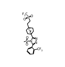 CS(=O)(=O)n1c(-c2ccccc2C(F)(F)F)nnc1C12CCC(CCS(=O)(=O)C(F)(F)F)(CC1)CC2